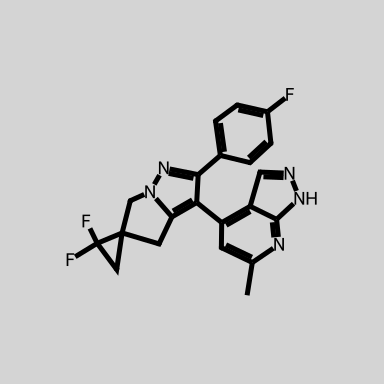 Cc1cc(-c2c(-c3ccc(F)cc3)nn3c2CC2(C3)CC2(F)F)c2cn[nH]c2n1